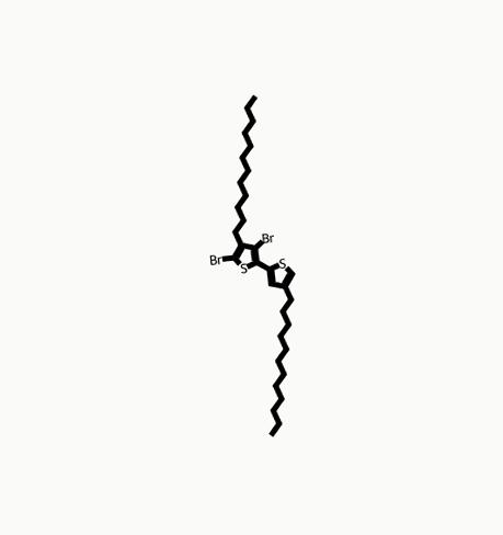 CCCCCCCCCCCCc1csc(-c2sc(Br)c(CCCCCCCCCCCC)c2Br)c1